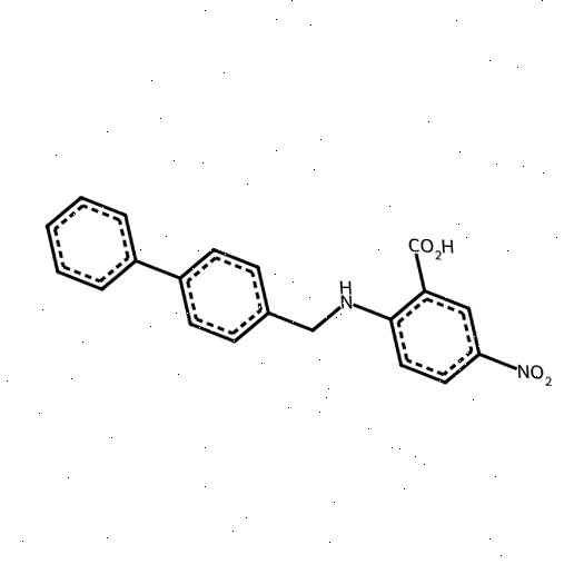 O=C(O)c1cc([N+](=O)[O-])ccc1NCc1ccc(-c2ccccc2)cc1